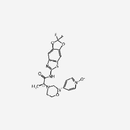 C[C@@H](C(=O)Nc1nc2cc3c(cc2s1)OC(F)(F)O3)N1CCO[C@@H](c2cc[n+]([O-])cc2)C1